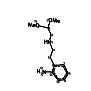 COC(CNCCc1ccccc1N)OC